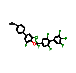 CCCCc1ccc(-c2cc(F)c(OC(F)(F)c3cc(F)c(-c4cc(F)c(F)c(F)c4)c(F)c3)c(Cl)c2)cc1